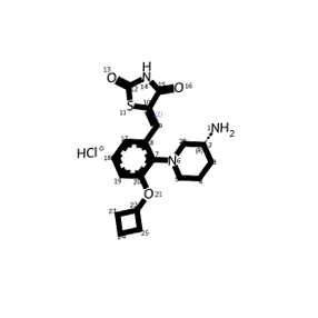 Cl.N[C@@H]1CCCN(c2c(/C=C3\SC(=O)NC3=O)cccc2OC2CCC2)C1